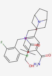 CC(C)(CO)C(=O)N(CCN1C2CCC1CC(c1cccc(C(N)=O)c1)C2)Cc1c(F)cccc1F